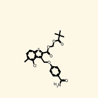 Cc1ccc2sc(C(=O)OCOC(=O)C(C)(C)C)c(COc3ccc(C(N)=O)cc3)c2c1Cl